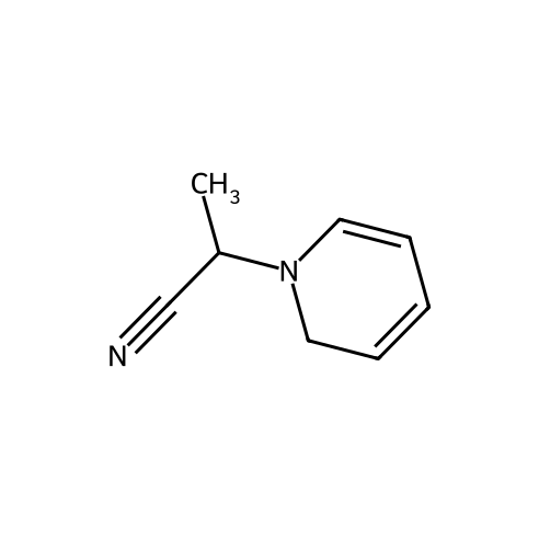 CC(C#N)N1C=CC=CC1